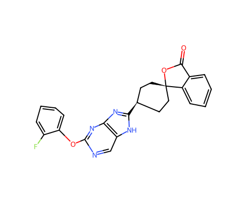 O=C1O[C@]2(CC[C@H](c3nc4nc(Oc5ccccc5F)ncc4[nH]3)CC2)c2ccccc21